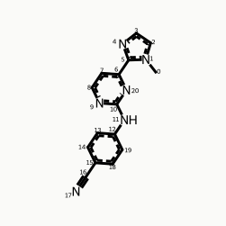 Cn1ccnc1-c1ccnc(Nc2ccc(C#N)cc2)n1